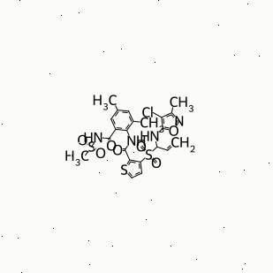 C=CC(Nc1onc(C)c1Cl)S(=O)(=O)c1ccsc1C(=O)Nc1c(C)cc(C)cc1C(=O)NS(C)(=O)=O